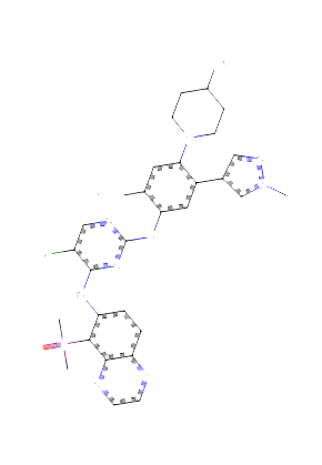 COc1cc(N2CCC(OC)CC2)c(-c2cnn(C)c2)cc1Nc1ncc(Br)c(Nc2ccc3nccnc3c2P(C)(C)=O)n1